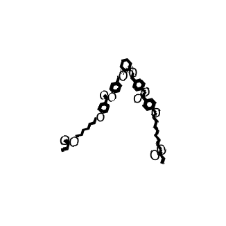 C=CC(=O)OCCCCCCCOc1ccc(C(=O)Oc2ccc(CO[C@@H]3CCCC[C@H]3OCc3ccc(OC(=O)c4ccc(OCCCCCCCOC(=O)C=C)cc4)cc3)cc2)cc1